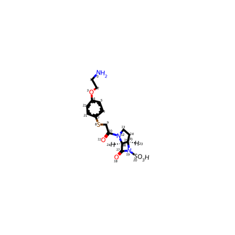 NCCOc1ccc(SCC(=O)N2CC[C@@H]3[C@H]2C(=O)N3S(=O)(=O)O)cc1